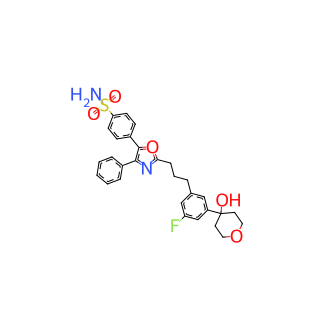 NS(=O)(=O)c1ccc(-c2oc(CCCc3cc(F)cc(C4(O)CCOCC4)c3)nc2-c2ccccc2)cc1